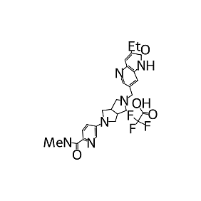 CCc1cc2ncc(CN3CC4CN(c5ccc(C(=O)NC)nc5)CC4C3)cc2[nH]c1=O.O=C(O)C(F)(F)F